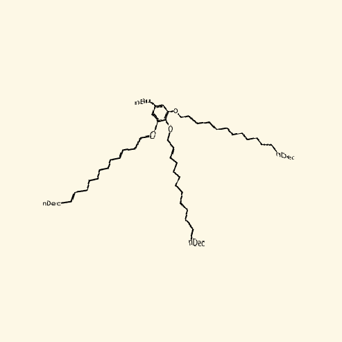 [CH2]CCCc1cc(OCCCCCCCCCCCCCCCCCCCCCC)c(OCCCCCCCCCCCCCCCCCCCCCC)c(OCCCCCCCCCCCCCCCCCCCCCC)c1